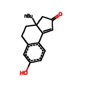 CCCCC12CCc3cc(O)ccc3C1=CC(=O)C2